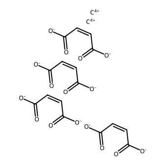 O=C([O-])/C=C\C(=O)[O-].O=C([O-])/C=C\C(=O)[O-].O=C([O-])/C=C\C(=O)[O-].O=C([O-])/C=C\C(=O)[O-].[C+4].[C+4]